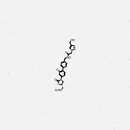 CC(=O)NC[C@H]1CN(c2ccc(-c3ccc(CNC(=O)Cn4cc(CO)nn4)cc3)c(F)c2)C(=O)O1